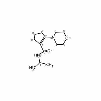 CC(C)NC(=O)C1=C(N2CCOCC2)CCC1